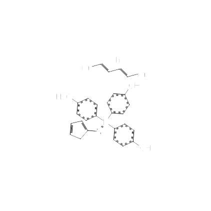 CC(C)C=CC=CC(C)C.Cc1ccc(P(=NC2=CC=CC2)(c2ccc(C)cc2)c2ccc(C)cc2)cc1.[Ti]